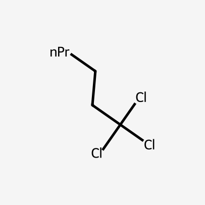 CCCCCC(Cl)(Cl)Cl